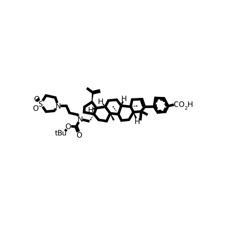 C=C(C)[C@@H]1CC[C@]2(CN(CCCN3CCS(=O)(=O)CC3)C(=O)OC(C)(C)C)CC[C@]3(C)[C@H](CC[C@@H]4[C@@]5(C)CC=C(c6ccc(C(=O)O)cc6)C(C)(C)[C@@H]5CC[C@]43C)[C@@H]12